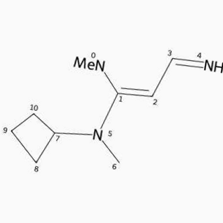 CN/C(=C\C=N)N(C)C1CCC1